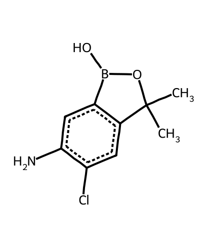 CC1(C)OB(O)c2cc(N)c(Cl)cc21